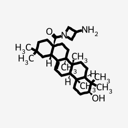 CC1(C)CC[C@]2(C(=O)N3CC(N)C3)CC[C@]3(C)C(=CC[C@@H]4[C@@]5(C)CC[C@H](O)C(C)(C)[C@@H]5CC[C@]43C)[C@@H]2C1